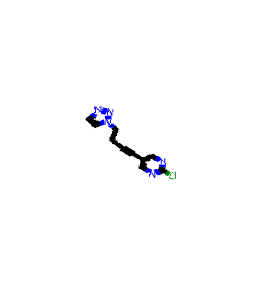 Clc1ncc(C#CCCn2ccnn2)cn1